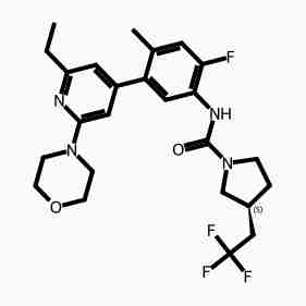 CCc1cc(-c2cc(NC(=O)N3CC[C@@H](CC(F)(F)F)C3)c(F)cc2C)cc(N2CCOCC2)n1